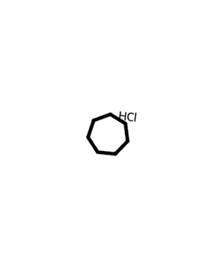 C1CCCCCC1.Cl